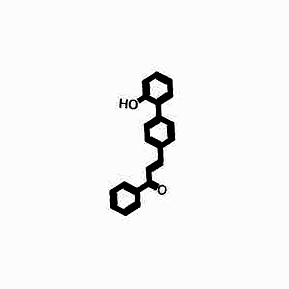 O=C(C=Cc1ccc(-c2ccccc2O)cc1)c1ccccc1